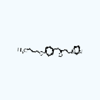 CCCCOc1ccc(CC(=O)CCn2ccnc2)cc1